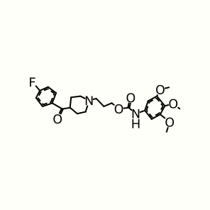 COc1cc(NC(=O)OCCCN2CCC(C(=O)c3ccc(F)cc3)CC2)cc(OC)c1OC